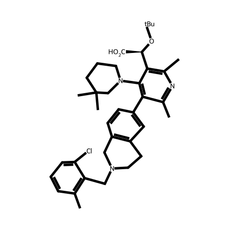 Cc1cccc(Cl)c1CN1CCc2cc(-c3c(C)nc(C)c([C@H](OC(C)(C)C)C(=O)O)c3N3CCCC(C)(C)C3)ccc2C1